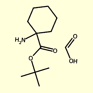 CC(C)(C)OC(=O)C1(N)CCCCC1.O=CO